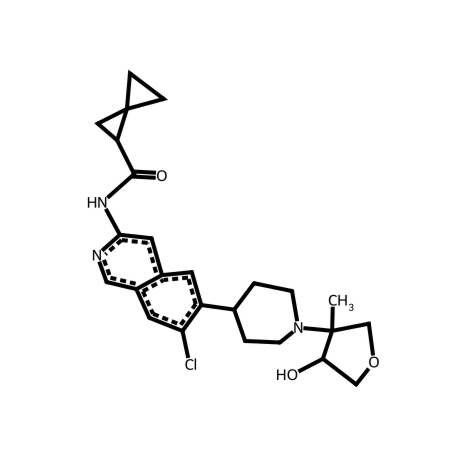 CC1(N2CCC(c3cc4cc(NC(=O)C5CC56CC6)ncc4cc3Cl)CC2)COCC1O